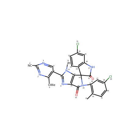 COc1nc(C#N)ncc1-c1nc2c(n1C(C)C)C1(C(=O)Nc3cc(Cl)ccc31)N(c1cc(Cl)ccc1C)C2=O